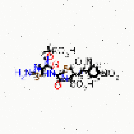 CC(C)(O/N=C(\C(=O)NC1C(=O)N2C(C(=O)O)=C(/C=C/c3ccc([N+](=O)[O-])cc3[N+](=O)[O-])CSC12)c1csc(N)n1)C(=O)O